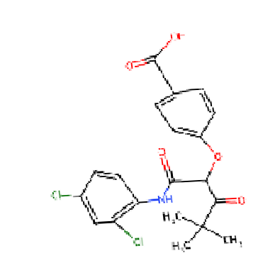 CC(C)(C)C(=O)C(Oc1ccc(C(=O)O)cc1)C(=O)Nc1ccc(Cl)cc1Cl